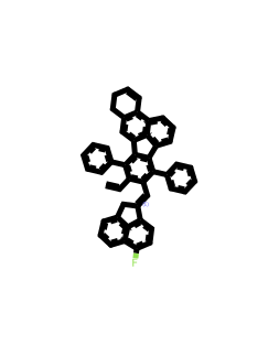 C=Cc1c(/C=C2\Cc3cccc4c(F)ccc2c34)c(-c2ccccc2)c2c(c1-c1ccccc1)-c1cc3c(c4cccc-2c14)C=CCC3